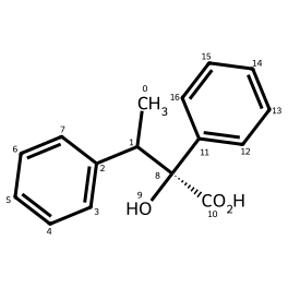 CC(c1ccccc1)[C@@](O)(C(=O)O)c1ccccc1